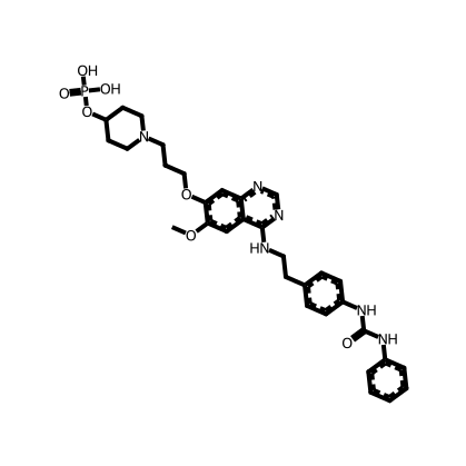 COc1cc2c(NCCc3ccc(NC(=O)Nc4ccccc4)cc3)ncnc2cc1OCCCN1CCC(OP(=O)(O)O)CC1